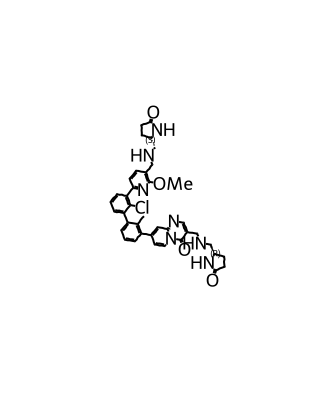 COc1nc(-c2cccc(-c3cccc(-c4ccn5c(=O)c(CNC[C@H]6CCC(=O)N6)cnc5c4)c3C)c2Cl)ccc1CNC[C@@H]1CCC(=O)N1